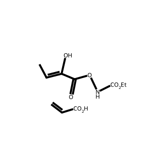 C=CC(=O)O.CC=C(O)C(=O)ONC(=O)OCC